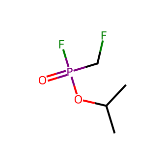 CC(C)OP(=O)(F)CF